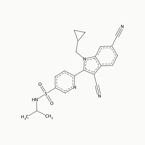 CC(C)NS(=O)(=O)c1ccc(-c2c(C#N)c3ccc(C#N)cc3n2CC2CC2)nc1